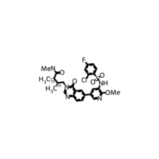 CNC(=O)[C@@H](C)[C@H](C)Cn1cnc2ccc(-c3cnc(OC)c(NS(=O)(=O)c4ccc(F)cc4Cl)c3)cc2c1=O